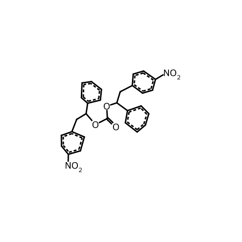 O=C(OC(Cc1ccc([N+](=O)[O-])cc1)c1ccccc1)OC(Cc1ccc([N+](=O)[O-])cc1)c1ccccc1